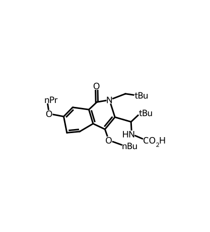 CCCCOc1c(C(NC(=O)O)C(C)(C)C)n(CC(C)(C)C)c(=O)c2cc(OCCC)ccc12